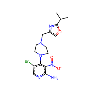 CC(C)c1nc(CN2CCN(c3c(Br)cnc(N)c3[N+](=O)[O-])CC2)co1